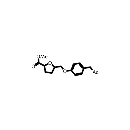 COC(=O)C1CCC(COc2ccc(CC(C)=O)cc2)O1